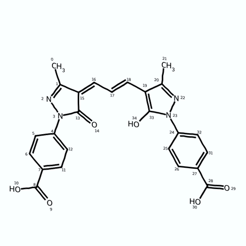 CC1=NN(c2ccc(C(=O)O)cc2)C(=O)C1=CC=Cc1c(C)nn(-c2ccc(C(=O)O)cc2)c1O